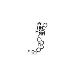 CC(C)c1ccccc1NC(=S)NNCc1ccc2nc(Oc3ccc(OC(F)(F)F)cc3)ccc2c1